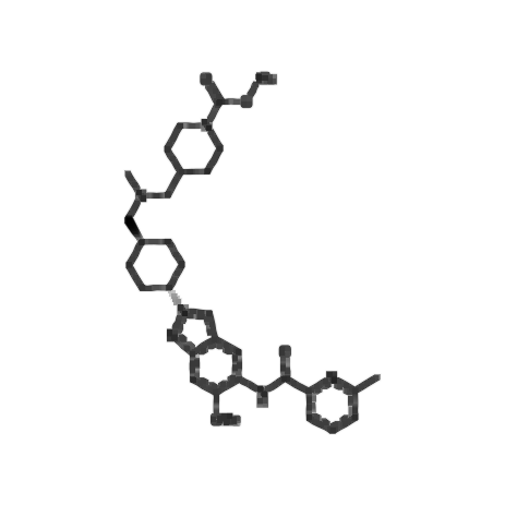 COc1cc2nn([C@H]3CC[C@H](CN(C)CC4CCN(C(=O)OC(C)(C)C)CC4)CC3)cc2cc1NC(=O)c1cccc(C)n1